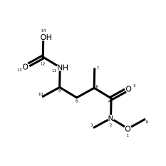 CON(C)C(=O)C(C)CC(C)NC(=O)O